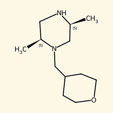 C[C@H]1CN(CC2CCOCC2)[C@@H](C)CN1